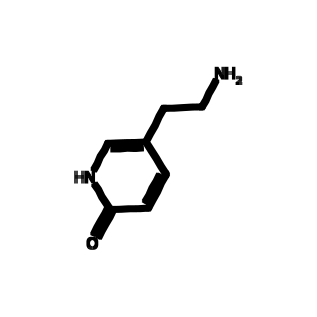 NCCc1ccc(=O)[nH]c1